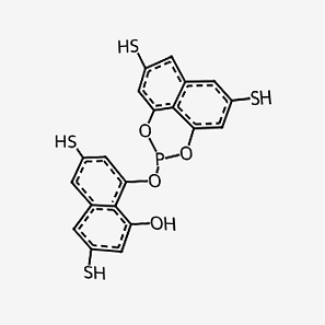 Oc1cc(S)cc2cc(S)cc(OP3Oc4cc(S)cc5cc(S)cc(c45)O3)c12